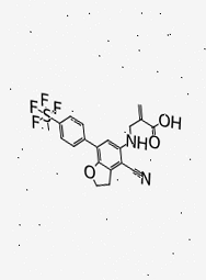 C=C(CNc1cc(-c2ccc(S(C)(F)(F)(F)F)cc2)c2c(c1C#N)CCO2)C(=O)O